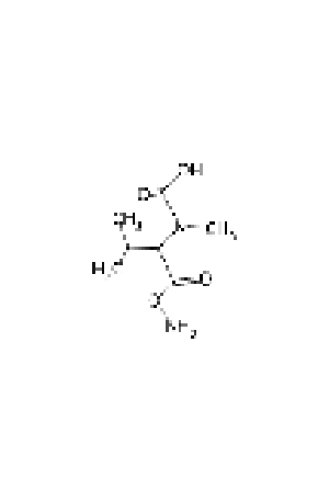 CC(C)C(C(=O)ON)N(C)C(=O)O